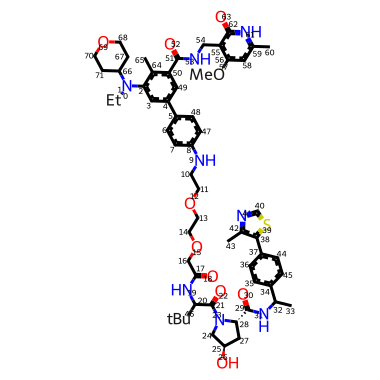 CCN(c1cc(-c2ccc(NCCOCCOCC(=O)NC(C(=O)N3C[C@H](O)C[C@H]3C(=O)NC(C)c3ccc(-c4scnc4C)cc3)C(C)(C)C)cc2)cc(C(=O)NCc2c(OC)cc(C)[nH]c2=O)c1C)C1CCOCC1